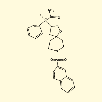 C[C@@](C(N)=O)(c1ccccc1)C1COC2(CCN(S(=O)(=O)c3ccc4ccccc4c3)CC2)C1